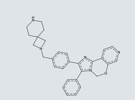 c1ccc(-c2c(-c3ccc(CN4CC5(CCNCC5)C4)cc3)nc3n2COc2cnccc2-3)cc1